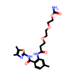 Cc1ccc(C(=O)Nc2nc(C)c(C)s2)c(NC(=O)CCOCCOCCOC(N)=O)c1